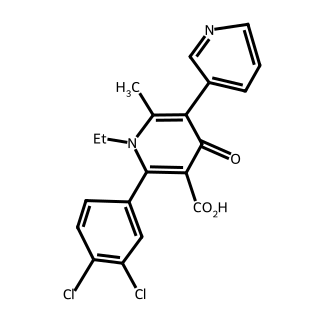 CCn1c(C)c(-c2cccnc2)c(=O)c(C(=O)O)c1-c1ccc(Cl)c(Cl)c1